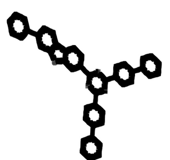 c1ccc(-c2ccc(-c3nc(-c4ccc(-c5ccccc5)cc4)nc(-c4ccc5c(c4)oc4cc(-c6ccccc6)ccc45)n3)cc2)cc1